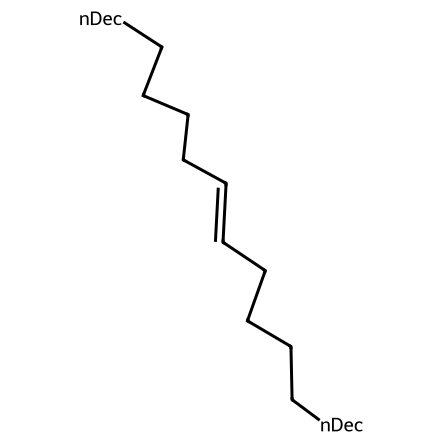 CCCCCCCCCCCCCCC=CCCCCCCCCCCCCCC